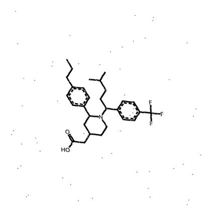 CCCc1ccc(C2CC(CC(=O)O)CCN2C(CCC(C)C)c2ccc(C(F)(F)F)cc2)cc1